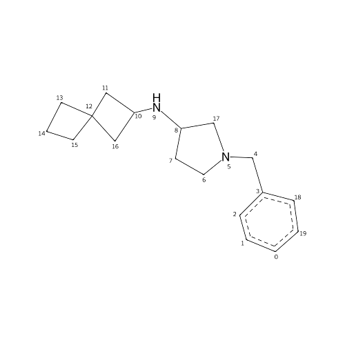 c1ccc(CN2CCC(NC3CC4(CCC4)C3)C2)cc1